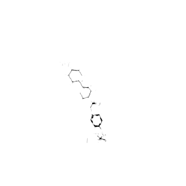 CCC[C@H]1CC[C@H]([C@H]2CC[C@H](C(=O)Oc3ccc(OC(F)(F)C(F)(F)F)cc3)CC2)CC1